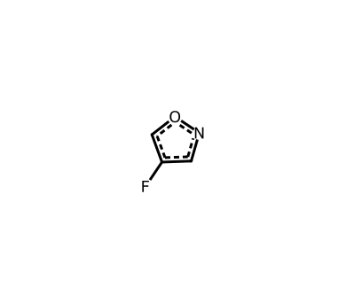 Fc1cnoc1